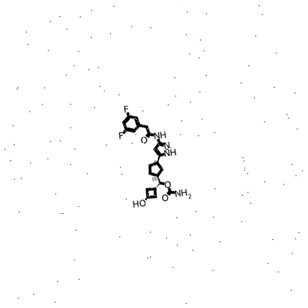 NC(=O)OC([C@H]1CC[C@@H](c2cc(NC(=O)Cc3cc(F)cc(F)c3)n[nH]2)C1)[C@H]1C[C@H](O)C1